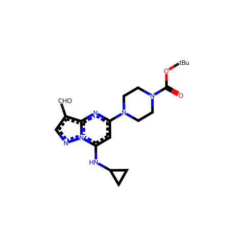 CC(C)(C)OC(=O)N1CCN(c2cc(NC3CC3)n3ncc(C=O)c3n2)CC1